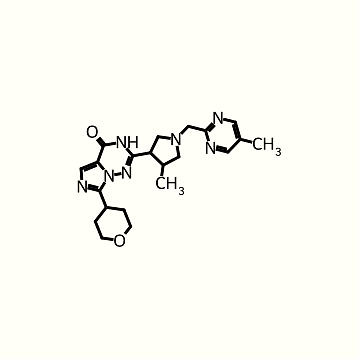 Cc1cnc(CN2CC(C)C(c3nn4c(C5CCOCC5)ncc4c(=O)[nH]3)C2)nc1